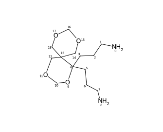 NCCCC1(CCCN)OCOCC12COCOC2